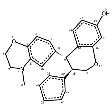 CN1CCOc2ccc([C@@H]3c4ccc(O)cc4OC[C@H]3c3ccccc3)cc21